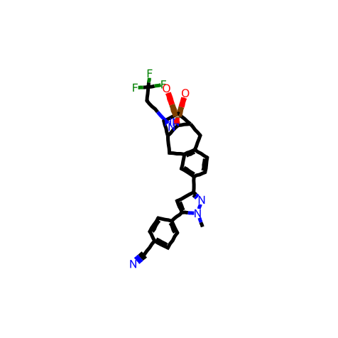 Cn1nc(-c2ccc3c(c2)CC2CCC(C3)C23CN(CC(F)(F)F)S(=O)(=O)N3)cc1-c1ccc(C#N)cc1